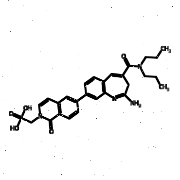 CCCN(CCC)C(=O)C1=Cc2ccc(-c3ccc4c(=O)n(CP(=O)(O)O)ccc4c3)cc2N=C(N)C1